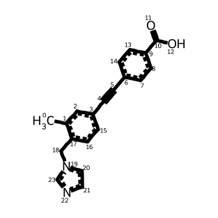 Cc1cc(C#Cc2ccc(C(=O)O)cc2)ccc1Cn1ccnc1